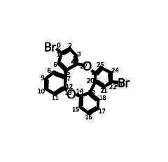 Brc1ccc2c(c1)-c1ccccc1Oc1ccccc1-c1cc(Br)ccc1O2